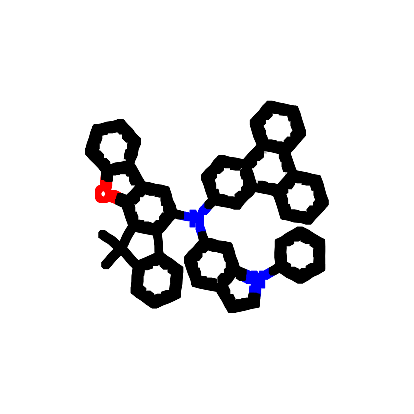 CC1(C)c2ccccc2-c2c(N(c3ccc4c5ccccc5c5ccccc5c4c3)c3ccc4ccn(-c5ccccc5)c4c3)cc3c(oc4ccccc43)c21